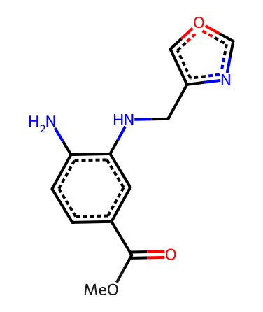 COC(=O)c1ccc(N)c(NCc2cocn2)c1